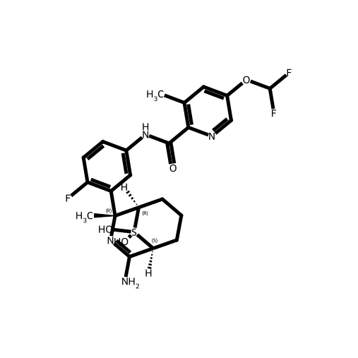 Cc1cc(OC(F)F)cnc1C(=O)Nc1ccc(F)c([C@@]2(C)N=C(N)[C@@H]3CCC[C@H]2S3(O)O)c1